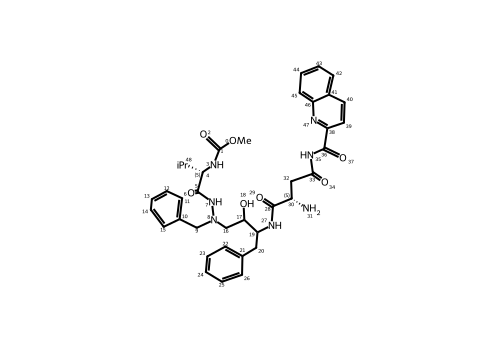 COC(=O)N[C@H](C(=O)NN(Cc1ccccc1)CC(O)C(Cc1ccccc1)NC(=O)[C@@H](N)CC(=O)NC(=O)c1ccc2ccccc2n1)C(C)C